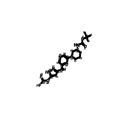 CC(C)(C)OC(=O)N[C@@H]1CCCN(c2cncc(Nc3cc(OC(F)F)[nH]n3)n2)C1